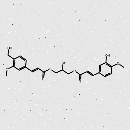 COc1ccc(/C=C/C(=O)OCC(O)COC(=O)/C=C/c2ccc(CO)c(OC)c2)cc1O